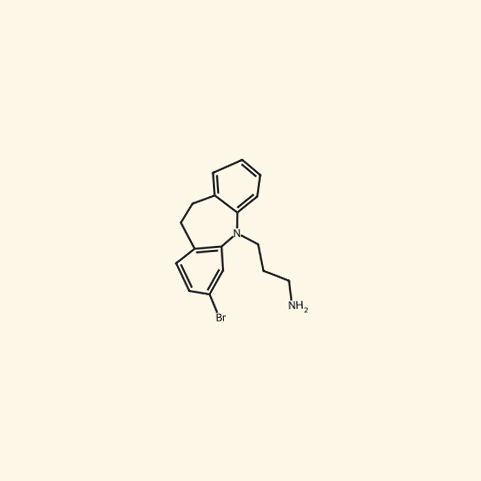 NCCCN1c2ccccc2CCc2ccc(Br)cc21